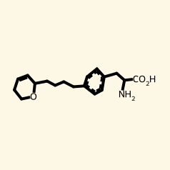 NC(Cc1ccc(CCCCC2C=CCCO2)cc1)C(=O)O